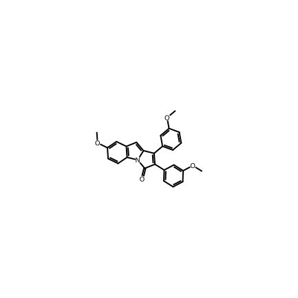 COc1cccc(C2=C(c3cccc(OC)c3)c3cc4cc(OC)ccc4n3C2=O)c1